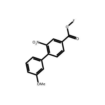 COc1cccc(-c2ccc(C(=O)OF)cc2[N+](=O)[O-])c1